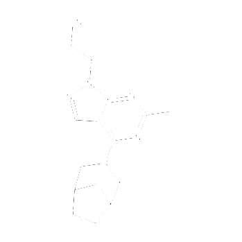 N#CCCn1ncc2c(N3CC4CCC(C3)O4)nc(Cl)nc21